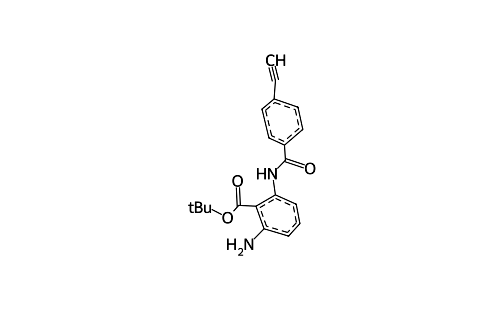 C#Cc1ccc(C(=O)Nc2cccc(N)c2C(=O)OC(C)(C)C)cc1